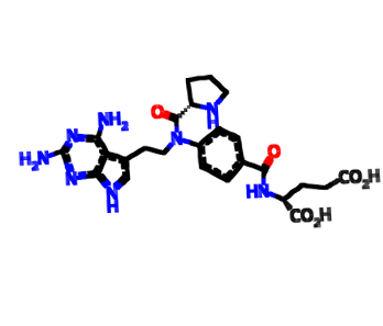 Nc1nc(N)c2c(CCN(C(=O)[C@@H]3CCCN3)c3ccc(C(=O)N[C@@H](CCC(=O)O)C(=O)O)cc3)c[nH]c2n1